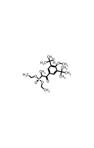 CCOP(=O)(OCC)C(C)C(=O)c1cc(C(C)(C)C)c(OC)c(C(C)(C)C)c1